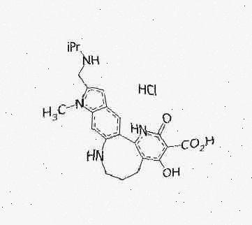 CC(C)NCc1cc2cc3c(cc2n1C)NCCCc1c-3[nH]c(=O)c(C(=O)O)c1O.Cl